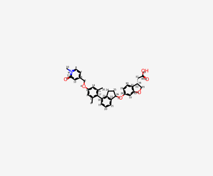 Cc1cc(OCc2ccn(C)c(=O)c2)cc(C)c1-c1cccc2c1CCC2Oc1ccc2c(c1)OC[C@H]2CC(=O)O